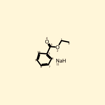 CCOC(=O)c1ccccc1.[NaH]